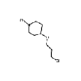 CC(C)N1CCC(OCCCO)CC1